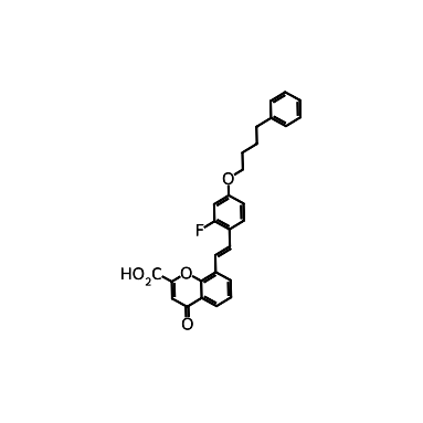 O=C(O)c1cc(=O)c2cccc(/C=C/c3ccc(OCCCCc4ccccc4)cc3F)c2o1